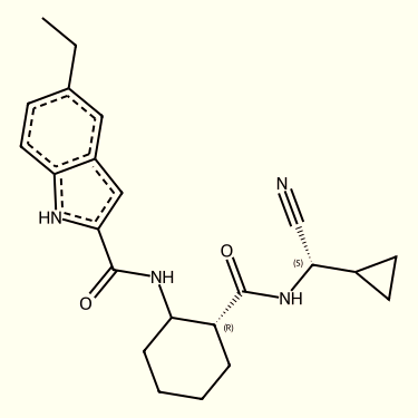 CCc1ccc2[nH]c(C(=O)NC3CCCC[C@H]3C(=O)N[C@H](C#N)C3CC3)cc2c1